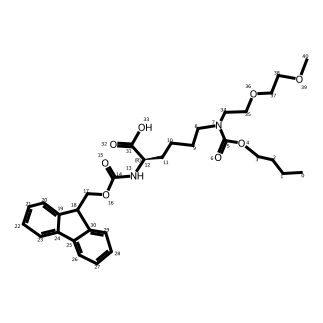 CCCCOC(=O)N(CCCC[C@@H](NC(=O)OCC1c2ccccc2-c2ccccc21)C(=O)O)CCOCCOC